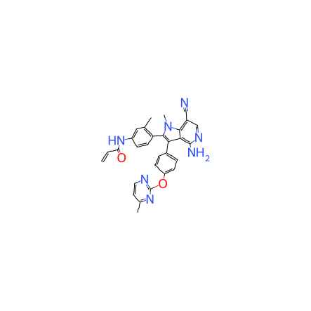 C=CC(=O)Nc1ccc(-c2c(-c3ccc(Oc4nccc(C)n4)cc3)c3c(N)ncc(C#N)c3n2C)c(C)c1